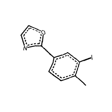 Cc1ccc(-c2ncco2)cc1I